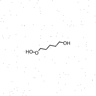 OCCCCCOO